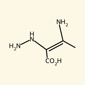 C/C(N)=C(/NN)C(=O)O